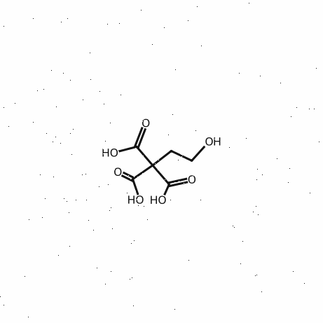 O=C(O)C(CCO)(C(=O)O)C(=O)O